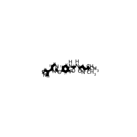 CC(C)(C)c1cc(NC(=O)Nc2ccc(Oc3nccc(-c4cnsc4)n3)cc2F)on1